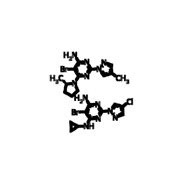 Cc1cnn(-c2nc(N)c(Br)c(N3CCC[C@H]3C)n2)c1.Nc1nc(-n2cc(Cl)cn2)nc(NC2CC2)c1Br